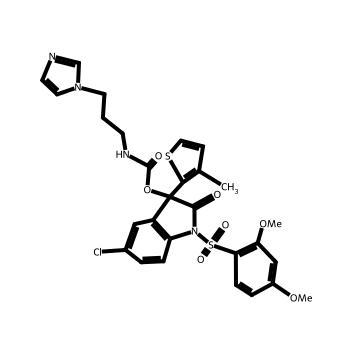 COc1ccc(S(=O)(=O)N2C(=O)C(OC(=O)NCCCn3ccnc3)(c3sccc3C)c3cc(Cl)ccc32)c(OC)c1